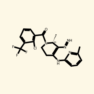 Cc1cccc(NC2=C(N=N)[C@@H](C)N(C(=O)c3cccc(C(F)(F)F)c3Cl)CC2)n1